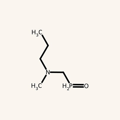 CCCN(C)C[PH2]=O